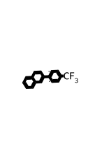 FC(F)(F)c1c[c]c(-c2ccc3ccccc3c2)[c]c1